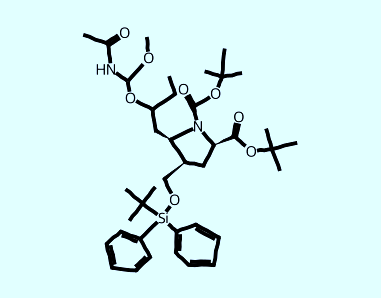 CCC(C[C@@H]1[C@H](CO[Si](c2ccccc2)(c2ccccc2)C(C)(C)C)C[C@H](C(=O)OC(C)(C)C)N1C(=O)OC(C)(C)C)OC(NC(C)=O)OC